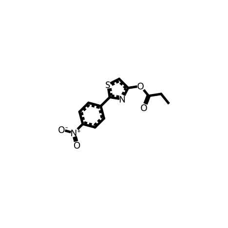 CCC(=O)Oc1csc(-c2ccc([N+](=O)[O-])cc2)n1